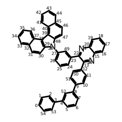 c1ccc(-c2cccc(-c3ccc(-c4nc5ccccc5nc4-c4cccc(-n5c6ccc7ccccc7c6c6c7ccccc7ccc65)c4)cc3)c2)cc1